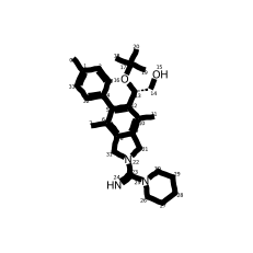 Cc1ccc(-c2c(C)c3c(c(C)c2[C@@H](CO)OC(C)(C)C)CN(C(=N)N2CCCCC2)C3)cc1